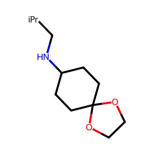 CC(C)CNC1CCC2(CC1)OCCO2